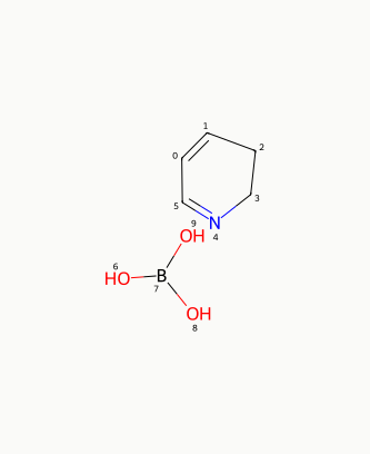 C1=CCCN=C1.OB(O)O